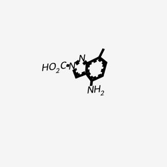 Cc1ccc(N)c2cn(C(=O)O)nc12